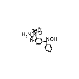 CC(C)S(=O)(=O)n1c(N)nc2ccc(C(=NO)c3ccccc3)cc21